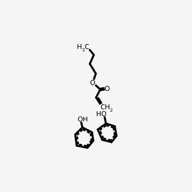 C=CC(=O)OCCCC.Oc1ccccc1.Oc1ccccc1